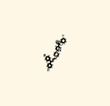 CC(C)C1(OC(=O)c2ccc(N3CCN(CCCC(c4ccc(F)cc4)c4ccc(F)cc4)CC3)nc2)CCC[C@@H](C)C1